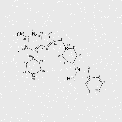 CN(Cc1ccccc1)C1CCN(Cc2cc3c(N4CCOCC4)nc(Cl)nc3s2)CC1